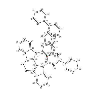 C1=CC(c2nc(-c3ccccc3)nc(-n3c4c(c5ccccc53)CCc3c-4n(-c4cccc(-c5cccc(-c6ccccc6)c5)c4)c4ccccc34)n2)=CCC1